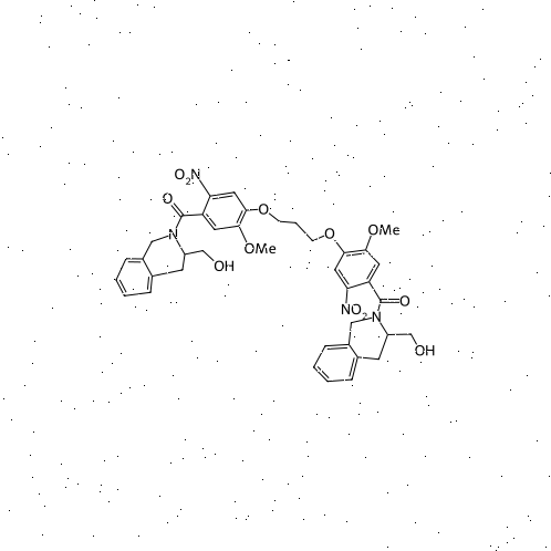 COc1cc(C(=O)N2Cc3ccccc3CC2CO)c([N+](=O)[O-])cc1OCCCOc1cc([N+](=O)[O-])c(C(=O)N2Cc3ccccc3CC2CO)cc1OC